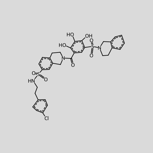 O=C(c1cc(S(=O)(=O)N2CCc3ccccc3C2)c(O)c(O)c1O)N1CCc2ccc(S(=O)(=O)NCCc3ccc(Cl)cc3)cc2C1